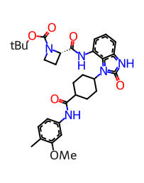 COc1cc(NC(=O)C2CCC(n3c(=O)[nH]c4cccc(NC(=O)[C@@H]5CCN5C(=O)OC(C)(C)C)c43)CC2)ccc1C